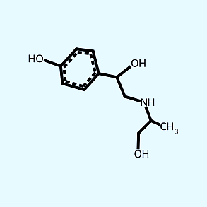 CC(CO)NCC(O)c1ccc(O)cc1